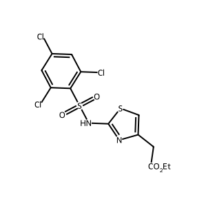 CCOC(=O)Cc1csc(NS(=O)(=O)c2c(Cl)cc(Cl)cc2Cl)n1